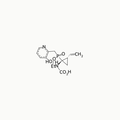 C=C[C@@H]1C[C@]1(NC(=O)O)P(=O)(Cc1ncccc1O)OCC